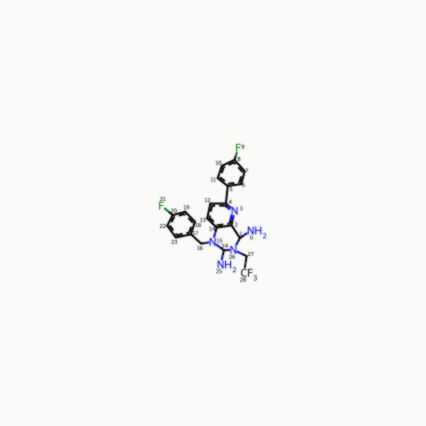 NC1c2nc(-c3ccc(F)cc3)ccc2N(Cc2ccc(F)cc2)C(N)N1CC(F)(F)F